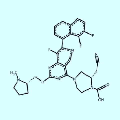 CN1CCC[C@H]1COc1nc(N2CCN(C(=O)O)[C@@H](CC#N)C2)c2cnc(-c3cccc4ccc(F)c(F)c34)c(F)c2n1